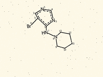 Brc1cncnc1NN1CCCCC1